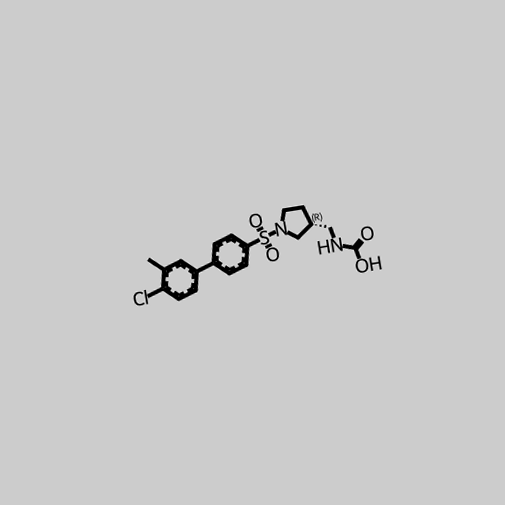 Cc1cc(-c2ccc(S(=O)(=O)N3CC[C@H](CNC(=O)O)C3)cc2)ccc1Cl